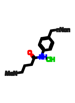 CCCCCCCCCCc1ccc(NC(=O)CCCNC)cc1.Cl